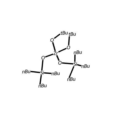 CCCC[Si](CCCC)(CCCC)[O][Zr]([O]C(C)(C)C)([O]C(C)(C)C)[O][Si](CCCC)(CCCC)CCCC